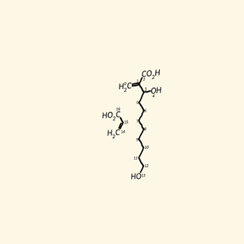 C=C(C(=O)O)C(O)CCCCCCCCO.C=CC(=O)O